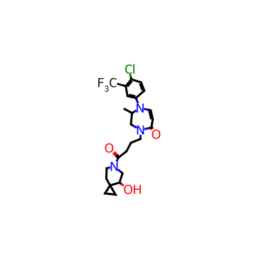 CC1CN(CCCC(=O)N2CCC3(CC3)C(O)C2)C(=O)C=CN1c1ccc(Cl)c(C(F)(F)F)c1